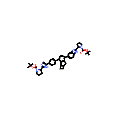 CC(C)(C)OC(=O)N1CCCC1c1ncc(-c2ccc(-c3ccc(-c4ccc5nc(C6CCCN6C(=O)OC(C)(C)C)[nH]c5c4)c4c3C3CCC3C4)cc2)[nH]1